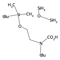 CC(C)(C)N(CCO[Si](C)(C)C(C)(C)C)C(=O)O.[SiH3]O[SiH3]